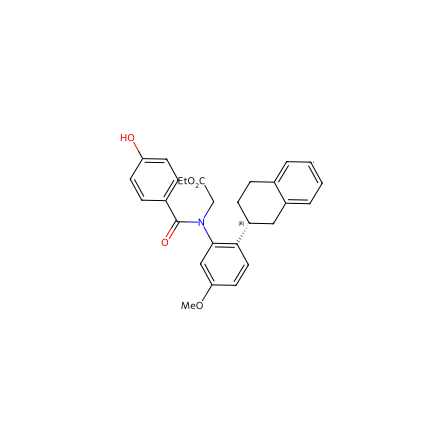 CCOC(=O)CN(C(=O)c1ccc(O)cc1)c1cc(OC)ccc1[C@@H]1CCc2c[c]ccc2C1